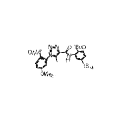 COc1ccc(OC)c(-n2nnc(C(=O)Nc3cc(C(C)(C)C)ccc3OCC(C)C)c2C)c1